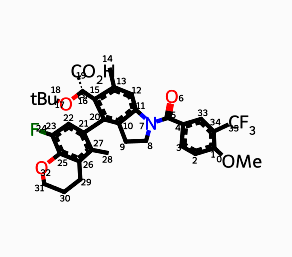 COc1ccc(C(=O)N2CCc3c2cc(C)c([C@H](OC(C)(C)C)C(=O)O)c3-c2cc(F)c3c(c2C)CCCO3)cc1C(F)(F)F